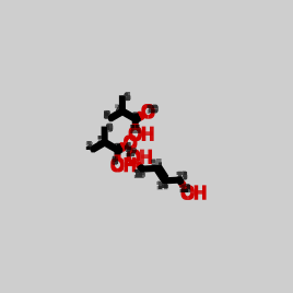 CC(C)C(=O)O.CC(C)C(=O)O.OCC=CCO